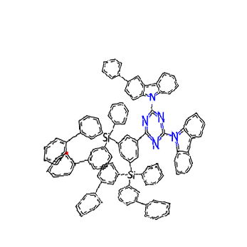 c1ccc(-c2cccc([Si](c3ccccc3)(c3cccc(-c4ccccc4)c3)c3cc(-c4nc(-n5c6ccccc6c6ccccc65)nc(-n5c6ccccc6c6cc(-c7ccccc7)ccc65)n4)cc([Si](c4ccccc4)(c4cccc(-c5ccccc5)c4)c4cccc(-c5ccccc5)c4)c3)c2)cc1